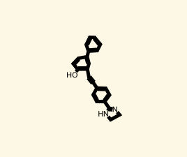 Oc1ccc(-c2ccccc2)cc1C#Cc1ccc(C2=NCCN2)cc1